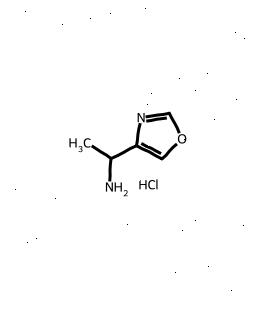 CC(N)c1cocn1.Cl